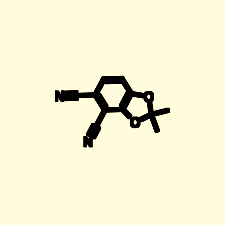 CC1(C)Oc2ccc(C#N)c(C#N)c2O1